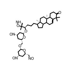 CC1(C)C(=O)CCC2C1=CCC1C3CCC(CCC[C@@H](O[C@H]4C[C@@H](N=O)C[C@@H](CO[C@H]5C[C@@H](N=O)C[C@@H](CN=O)O5)O4)C(C)(C)ON)[C@@]3(C)CC[C@@]21C